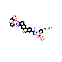 COC[C@H]1C[C@@H](c2ncc(-c3ccc4c(c3)COc3cc5c(ccc6nc([C@@H]7CC[C@H](C)N7C(=O)C(C)C(C)C)[nH]c65)cc3-4)[nH]2)N(C(=O)OC(C)(C)C)C1